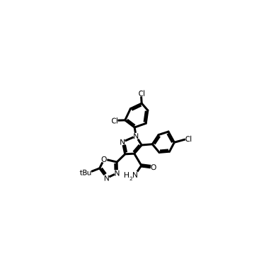 CC(C)(C)c1nnc(-c2nn(-c3ccc(Cl)cc3Cl)c(-c3ccc(Cl)cc3)c2C(N)=O)o1